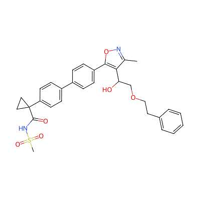 Cc1noc(-c2ccc(-c3ccc(C4(C(=O)NS(C)(=O)=O)CC4)cc3)cc2)c1C(O)COCCc1ccccc1